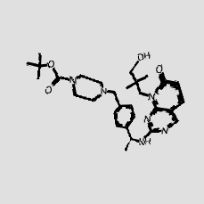 C[C@H](Nc1ncc2ccc(=O)n(CC(C)(C)CO)c2n1)c1ccc(CN2CCN(C(=O)OC(C)(C)C)CC2)cc1